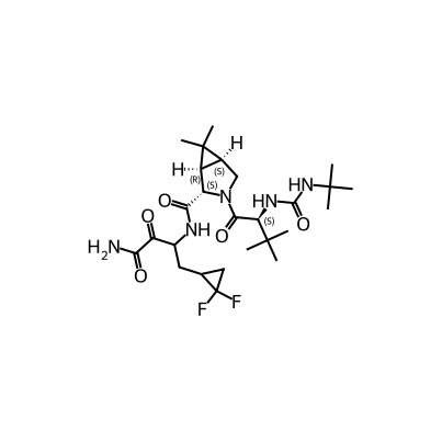 CC(C)(C)NC(=O)N[C@H](C(=O)N1C[C@H]2[C@@H]([C@H]1C(=O)NC(CC1CC1(F)F)C(=O)C(N)=O)C2(C)C)C(C)(C)C